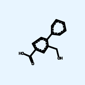 O=C(O)c1ccc(-c2ccccc2)c(CO)c1